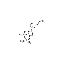 CCCCC[C@H](CO)c1ccc2c(c1)C(C)(C)CC(C)(C)O2